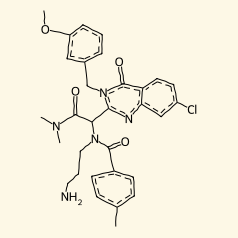 COc1cccc(Cn2c(C(C(=O)N(C)C)N(CCCN)C(=O)c3ccc(C)cc3)nc3cc(Cl)ccc3c2=O)c1